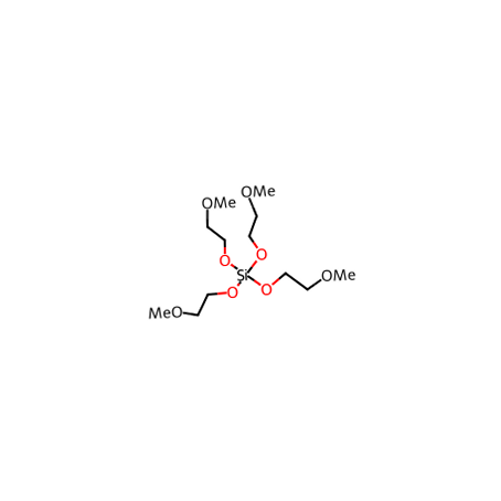 COCCO[Si](OCCOC)(OCCOC)OCCOC